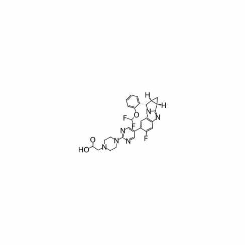 O=C(O)CN1CCN(c2ncc(-c3cc4c(cc3F)nc3n4[C@H](c4ccccc4OC(F)F)[C@@H]4C[C@H]34)cn2)CC1